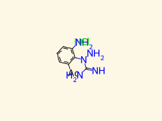 CC(=O)c1cccc(N)c1N(N)C(=N)N.Cl